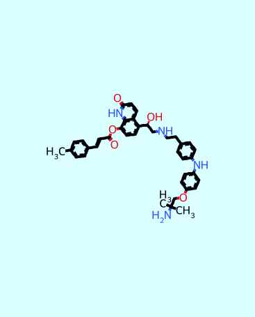 Cc1ccc(C=CC(=O)Oc2ccc([C@@H](O)CNCCc3ccc(Nc4ccc(OCC(C)(C)N)cc4)cc3)c3ccc(=O)[nH]c23)cc1